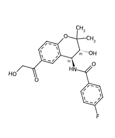 CC1(C)Oc2ccc(C(=O)CO)cc2[C@H](NC(=O)c2ccc(F)cc2)[C@H]1O